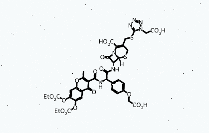 CCOC(=O)Oc1cc2oc(C)c(C(=O)NC(C(=O)N[C@@H]3C(=O)N4C(C(=O)O)=C(CSc5nnnn5CC(=O)O)CS[C@H]34)c3ccc(OCC(=O)O)cc3)c(=O)c2cc1OC(=O)OCC